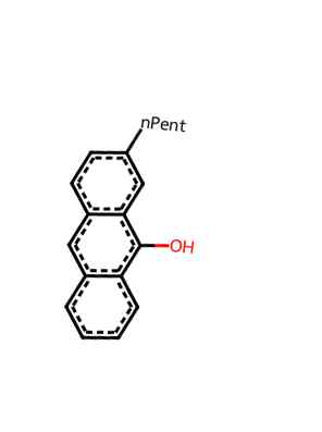 CCCCCc1ccc2cc3ccccc3c(O)c2c1